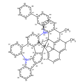 CC1C=C2C=CC=C3C2(C)C2=C1C(C)c1ccccc1C2(C)C31c2ccc3c4ccccc4n4c3c2-c2c(ccc(Nc3cccc(-c5ccccc5)c3)c21)-c1ccccc1-4